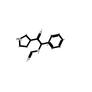 O=COC(C(=O)C1CCNC1)c1ccccc1